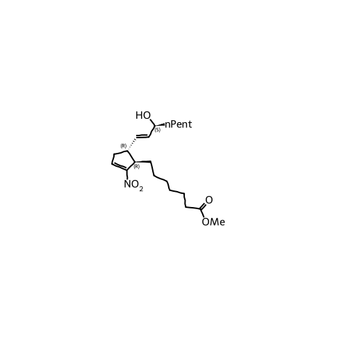 CCCCC[C@H](O)C=C[C@H]1CC=C([N+](=O)[O-])[C@@H]1CCCCCCC(=O)OC